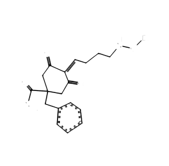 CCONCCCC=C1C(=O)CC(Cc2ccccc2)(C(N)=O)CC1=O